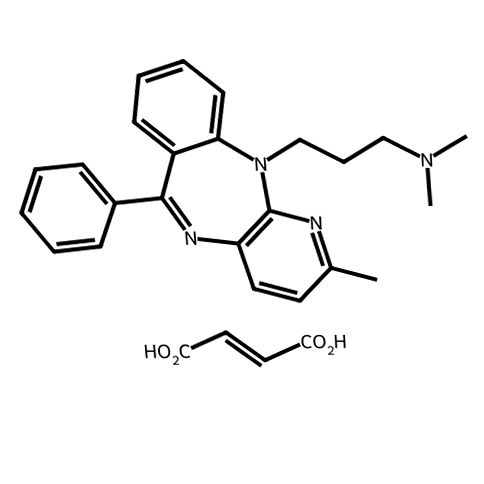 Cc1ccc2c(n1)N(CCCN(C)C)c1ccccc1C(c1ccccc1)=N2.O=C(O)C=CC(=O)O